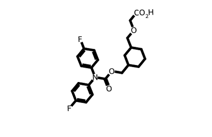 O=C(O)COCC1CCCC(COC(=O)N(c2ccc(F)cc2)c2ccc(F)cc2)C1